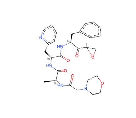 C[C@H](NC(=O)CN1CCOCC1)C(=O)N[C@@H](Cc1ccccn1)C(=O)N[C@@H](Cc1ccccc1)C(=O)C1(C)CO1